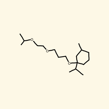 CC1CCCC(OCCCOCCOC(C)C)(C(C)C)C1